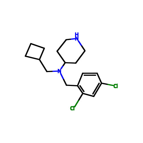 Clc1ccc(CN(CC2CCC2)C2CCNCC2)c(Cl)c1